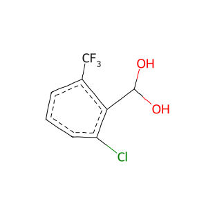 OC(O)c1c(Cl)cccc1C(F)(F)F